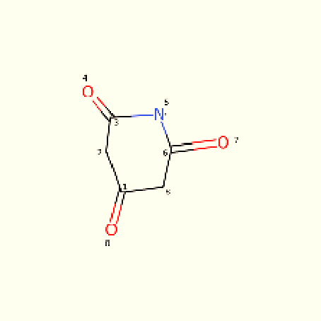 O=C1CC(=O)[N]C(=O)C1